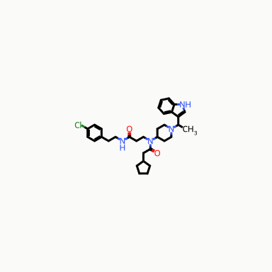 CC(c1c[nH]c2ccccc12)N1CCC(N(CCC(=O)NCCc2ccc(Cl)cc2)C(=O)CC2CCCC2)CC1